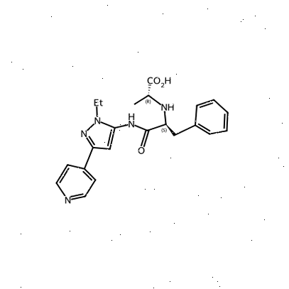 CCn1nc(-c2ccncc2)cc1NC(=O)[C@H](Cc1ccccc1)N[C@H](C)C(=O)O